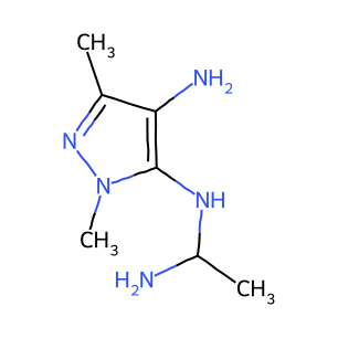 Cc1nn(C)c(NC(C)N)c1N